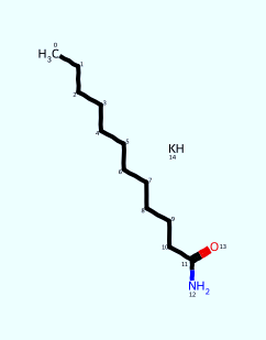 CCCCCCCCCCCC(N)=O.[KH]